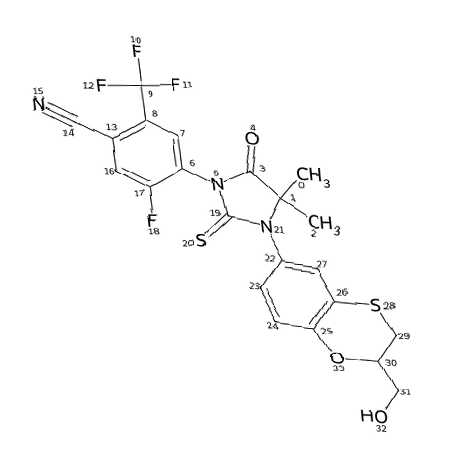 CC1(C)C(=O)N(c2cc(C(F)(F)F)c(C#N)cc2F)C(=S)N1c1ccc2c(c1)SCC(CO)O2